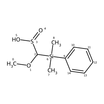 CO[C](S(=O)O)[Si](C)(C)c1ccccc1